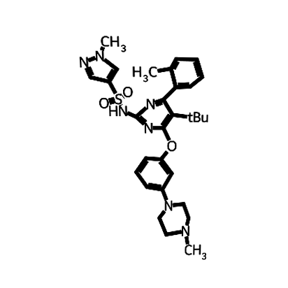 Cc1ccccc1-c1nc(NS(=O)(=O)c2cnn(C)c2)nc(Oc2cccc(N3CCN(C)CC3)c2)c1C(C)(C)C